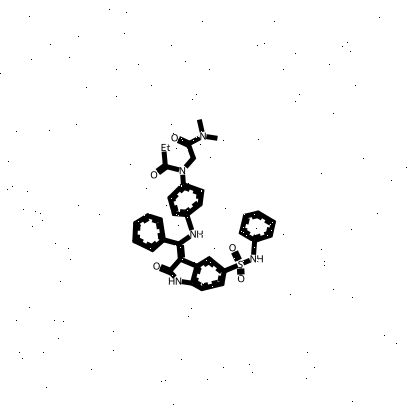 CCC(=O)N(CC(=O)N(C)C)c1ccc(NC(=C2C(=O)Nc3ccc(S(=O)(=O)Nc4ccccc4)cc32)c2ccccc2)cc1